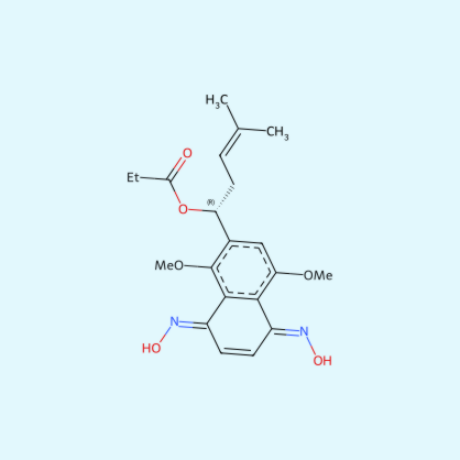 CCC(=O)O[C@H](CC=C(C)C)c1cc(OC)c2c(c1OC)C(=NO)C=CC2=NO